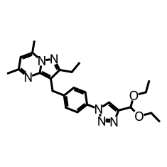 CCOC(OCC)c1cn(-c2ccc(Cc3c(CC)nn4c(C)cc(C)nc34)cc2)nn1